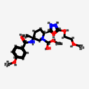 CC(C)(C)OC(O)N1C[C@]([SiH3])(NC(=O)c2ccc(OC(F)(F)F)cc2)CC[C@@H]1c1nnc(OCCOC(F)(F)F)o1